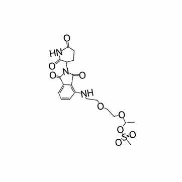 CC(OCCOCCNc1cccc2c1C(=O)N(C1CCC(=O)NC1=O)C2=O)OS(C)(=O)=O